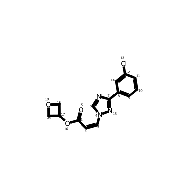 O=C(/C=C\n1cnc(-c2cccc(Cl)c2)n1)OC1COC1